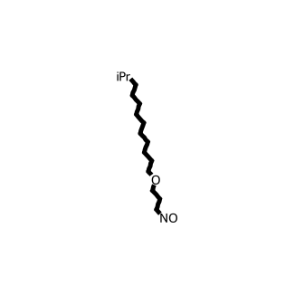 CC(C)CCCCCCCCCCOCCCN=O